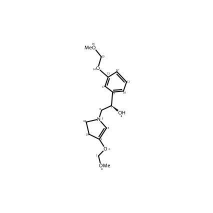 COCOC1=CN(C[C@H](O)c2cccc(OCOC)c2)CC1